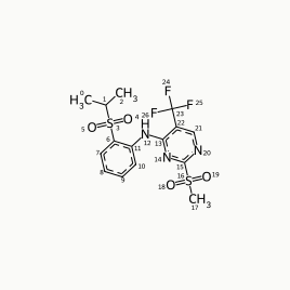 CC(C)S(=O)(=O)c1ccccc1Nc1nc(S(C)(=O)=O)ncc1C(F)(F)F